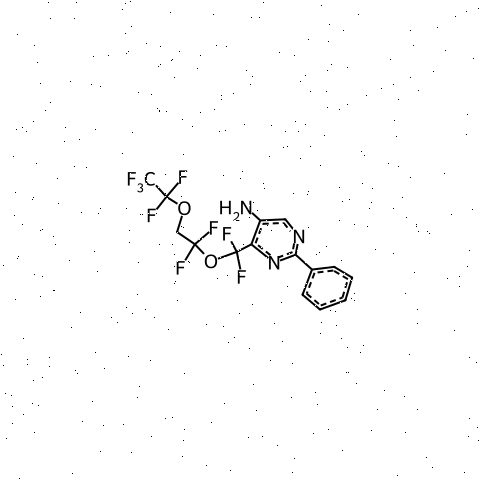 Nc1cnc(-c2ccccc2)nc1C(F)(F)OC(F)(F)COC(F)(F)C(F)(F)F